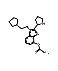 NC(=O)Oc1cccc2c1nc(C1CCCN1)n2CCN1CCCC1